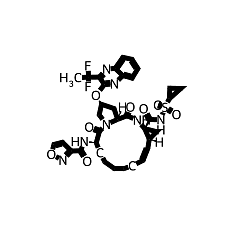 CC(F)(F)c1nc2ccccc2nc1O[C@@H]1C[C@H]2C(=O)N[C@]3(C(=O)NS(=O)(=O)C4CC4)C[C@H]3C=CCCCCC[C@H](NC(=O)c3ccon3)C(=O)N2C1